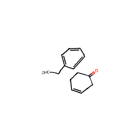 O=C1CC=CCC1.O=CCc1ccccc1